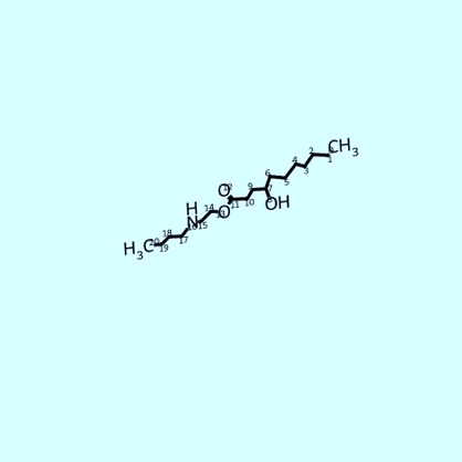 CCCCCCCC(O)CCC(=O)OCCNCCCC